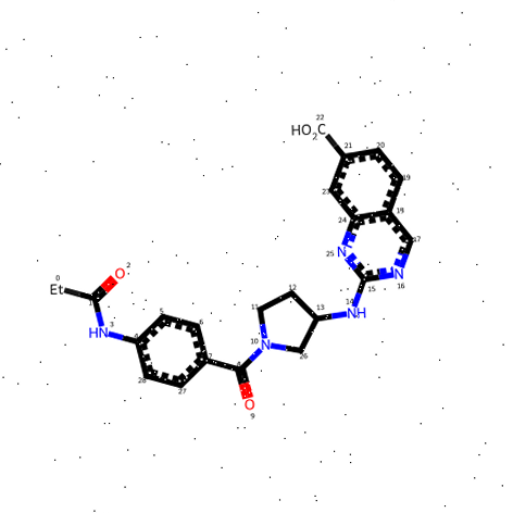 CCC(=O)Nc1ccc(C(=O)N2CCC(Nc3ncc4ccc(C(=O)O)cc4n3)C2)cc1